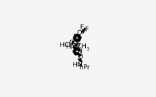 CCCNCCOc1ccc(NS(=O)(=O)c2ccc(OCC(F)F)cc2)c(C)n1.Cl